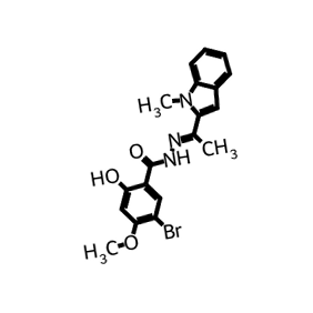 COc1cc(O)c(C(=O)N/N=C(\C)c2cc3ccccc3n2C)cc1Br